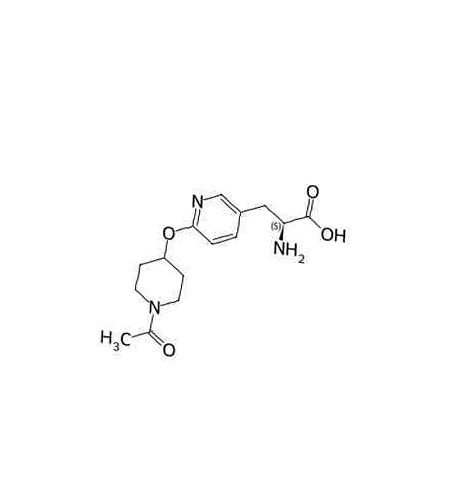 CC(=O)N1CCC(Oc2ccc(C[C@H](N)C(=O)O)cn2)CC1